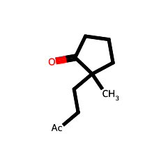 CC(=O)CCC1(C)CCCC1=O